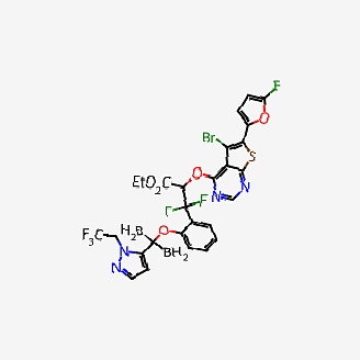 BC(B)(Oc1ccccc1C(F)(F)C(Oc1ncnc2sc(-c3ccc(F)o3)c(Br)c12)C(=O)OCC)c1ccnn1CC(F)(F)F